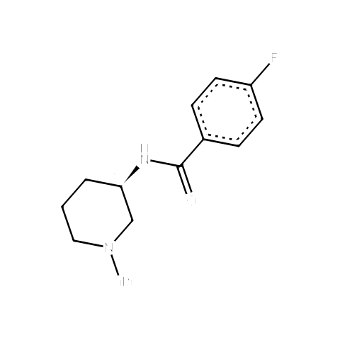 CC(C)N1CCC[C@@H](NC(=O)c2ccc(F)cc2)C1